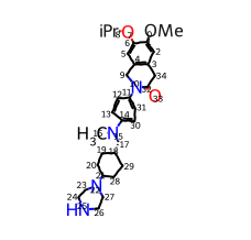 COc1cc2c(cc1OC(C)C)CN(c1ccc(N(C)C[C@H]3CC[C@H](N4CCNCC4)CC3)cc1)C(=O)C2